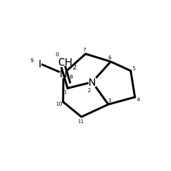 C=CN1C2CCC1CN(I)CC2